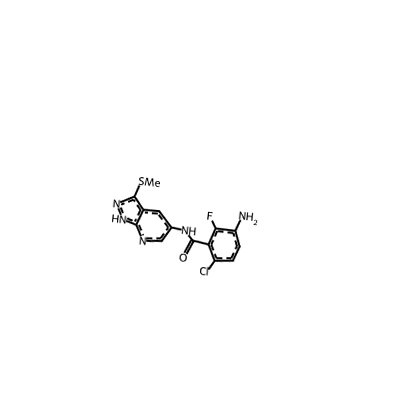 CSc1n[nH]c2ncc(NC(=O)c3c(Cl)ccc(N)c3F)cc12